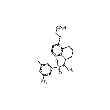 CN(C1CCCc2c(OCC(=O)O)cccc21)S(=O)(=O)c1cc(F)cc(C(F)(F)F)c1